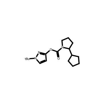 CC(C)(C)n1ccc(OC(=O)N2CCCC2C2CCCC2)n1